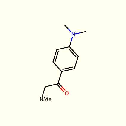 CNCC(=O)c1ccc(N(C)C)cc1